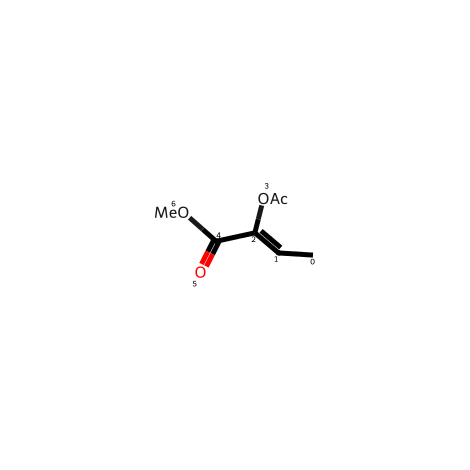 C/C=C(\OC(C)=O)C(=O)OC